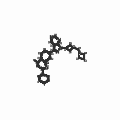 Cc1cc(-c2ccccc2)nc2cc(-c3nn(C4CC(CN5CCC5)C4)c4ncncc34)ccc12